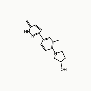 C=C1C=CC(c2ccc(N3CCC(O)C3)c(C)c2)=NN1